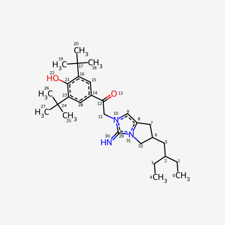 CCC(CC)CC1Cc2cn(CC(=O)c3cc(C(C)(C)C)c(O)c(C(C)(C)C)c3)c(=N)n2C1